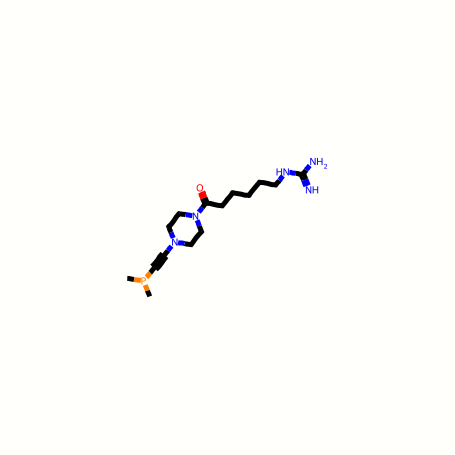 CP(C)C#CN1CCN(C(=O)CCCCCNC(=N)N)CC1